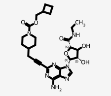 CCNC(=O)[C@H]1O[C@@H](n2cnc3c(N)nc(C#CCC4CCN(C(=O)OCC5CCC5)CC4)nc32)[C@@H](O)C1O